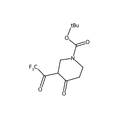 CC(C)(C)OC(=O)N1CCC(=O)C(C(=O)C(F)(F)F)C1